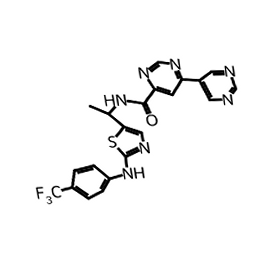 CC(NC(=O)c1cc(-c2cncnc2)ncn1)c1cnc(Nc2ccc(C(F)(F)F)cc2)s1